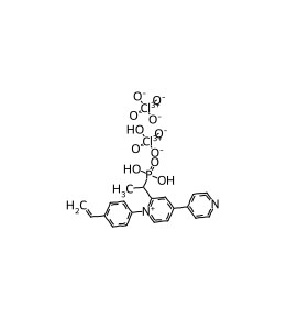 C=Cc1ccc(-[n+]2ccc(-c3ccncc3)cc2C(C)P(=O)(O)O)cc1.[O-][Cl+3]([O-])([O-])O.[O-][Cl+3]([O-])([O-])[O-]